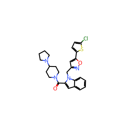 O=C(c1cc2ccccc2n1Cc1cc(-c2ccc(Cl)s2)on1)N1CCC(N2CCCC2)CC1